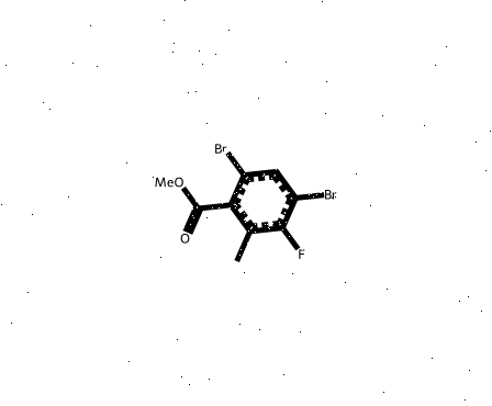 COC(=O)c1c(Br)cc(Br)c(F)c1C